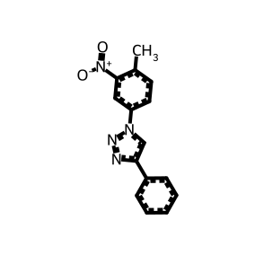 Cc1ccc(-n2cc(-c3ccccc3)nn2)cc1[N+](=O)[O-]